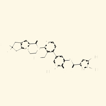 Cc1cc(C(=O)Nc2cc(-c3ccnc(N4CCn5c(cc6c5CC(C)(C)C6)C4=O)c3CO)cn(C)c2=O)nn1C